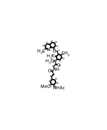 COc1cc(C=CC(=O)NCC(=O)N(C)c2ccc(C)c(COc3cccc4ccc(C)nc34)c2C)ccc1NC(C)=O